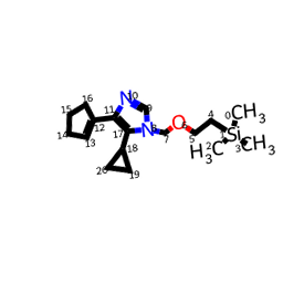 C[Si](C)(C)CCOCn1cnc(C2=CCCC2)c1C1CC1